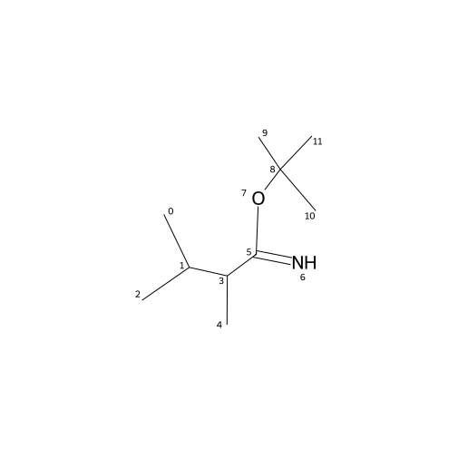 CC(C)C(C)C(=N)OC(C)(C)C